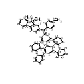 Cc1ccc(N(c2ccc3c(c2)C(C)(C)c2ccccc2-3)c2ccc3c(c2)c2ccccc2c2c(-c4ccccc4)cc(-c4ccccc4)c(-c4ccccc4)c32)cc1